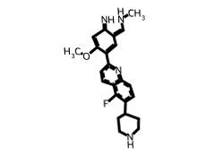 CN/C=C1/C=C(c2ccc3c(F)c(C4CCNCC4)ccc3n2)C(OC)=CC1=N